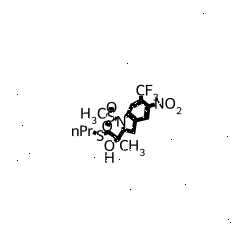 CCCSCC(C)(O)C1Cc2cc([N+](=O)[O-])c(C(F)(F)F)cc2N1S(C)(=O)=O